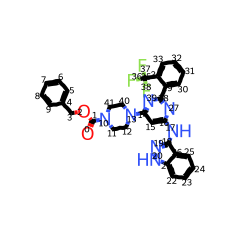 O=C(OCc1ccccc1)N1CCN(c2cc(Nc3n[nH]c4ccccc34)nc(-c3ccccc3C(F)(F)F)n2)CC1